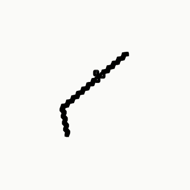 CCCCCCCC/C=C\CCCCCCCCCCCCOC(=O)OCCCCCCCCCC